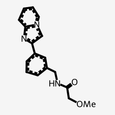 COCC(=O)NCc1cccc(-c2cn3ccccc3n2)c1